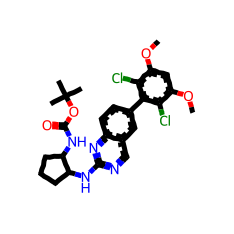 COc1cc(OC)c(Cl)c(-c2ccc3nc(NC4CCCC4NC(=O)OC(C)(C)C)ncc3c2)c1Cl